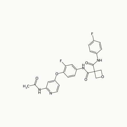 CC(=O)Nc1cc(Oc2ccc(NC(=O)C3(C(=O)Nc4ccc(F)cc4)COC3)cc2F)ccn1